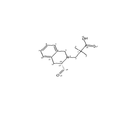 CC(C)(CN1Cc2ccccc2C[C@H]1C=O)C(=O)O